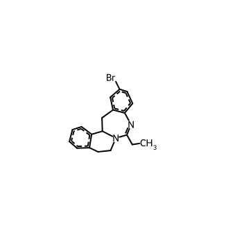 CCC1=Nc2ccc(Br)cc2CC2c3ccccc3CCN12